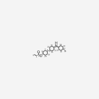 C=CC(=O)Oc1ccc(-c2ccc(Nc3ccc(C)cc3)cc2)cc1